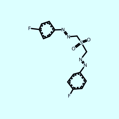 O=S(=O)(CN=Nc1ccc(F)cc1)CN=Nc1ccc(F)cc1